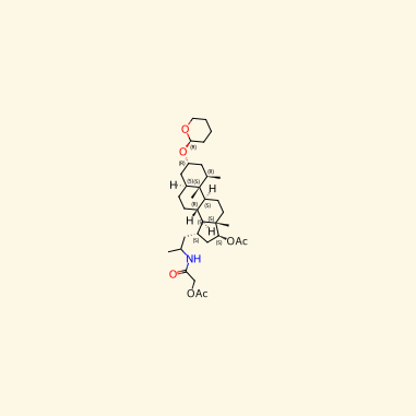 CC(=O)OCC(=O)NC(C)C[C@H]1C[C@H](OC(C)=O)[C@@]2(C)CC[C@H]3[C@@H](CC[C@H]4C[C@H](O[C@@H]5CCCCO5)C[C@@H](C)[C@@]43C)[C@H]12